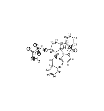 NC(=O)c1cccc2c1c1c(-c3ccccc3)ccc(OCS(=O)(=O)C(N)=O)c1n2Cc1ccccc1